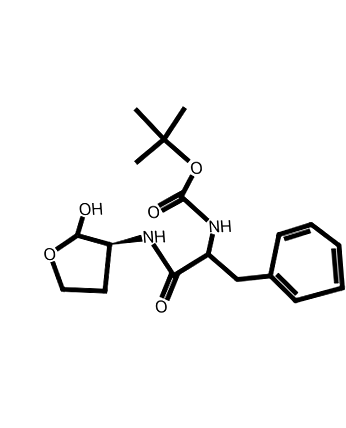 CC(C)(C)OC(=O)NC(Cc1ccccc1)C(=O)N[C@H]1CCOC1O